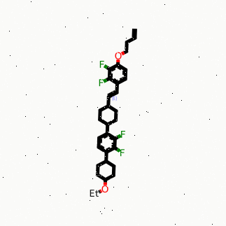 C=CCCOc1ccc(/C=C/C2CCC(c3ccc(C4CCC(OCC)CC4)c(F)c3F)CC2)c(F)c1F